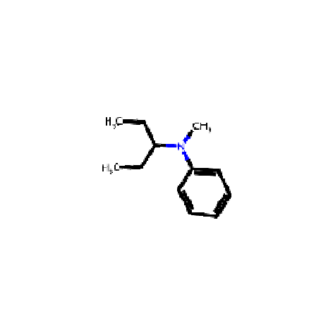 CCC(CC)N(C)c1ccccc1